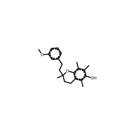 COc1cccc(CCC2(C)CCc3c(C)c(O)c(C)c(C)c3O2)c1